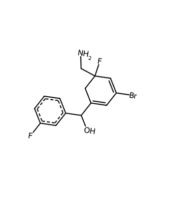 NCC1(F)C=C(Br)C=C(C(O)c2cccc(F)c2)C1